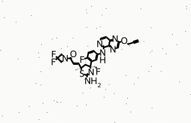 C#CCOc1cnc2c(Nc3ccc(F)c([C@]4(CF)C[C@](C)(/C=C/C(=O)N5CC(F)(F)C5)SC(N)=N4)c3)nccc2n1